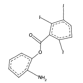 Nc1ccccc1OC(=O)c1c(I)ccc(I)c1I